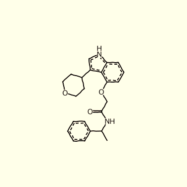 CC(NC(=O)COc1cccc2[nH]cc(C3CCOCC3)c12)c1ccccc1